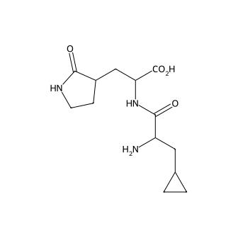 NC(CC1CC1)C(=O)NC(CC1CCNC1=O)C(=O)O